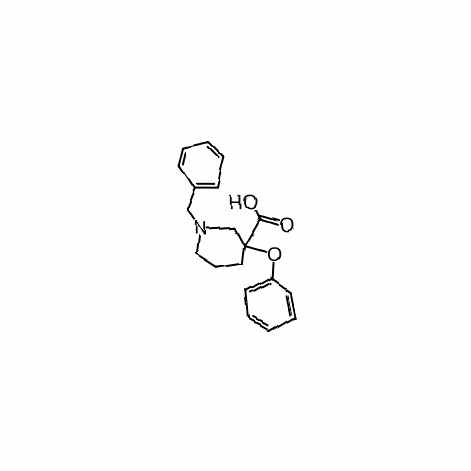 O=C(O)C1(Oc2ccccc2)CCCN(Cc2ccccc2)C1